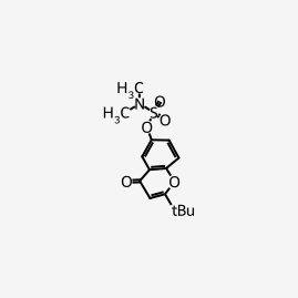 CN(C)S(=O)(=O)Oc1ccc2oc(C(C)(C)C)cc(=O)c2c1